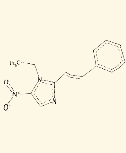 CCn1c([N+](=O)[O-])cnc1C=Cc1ccccc1